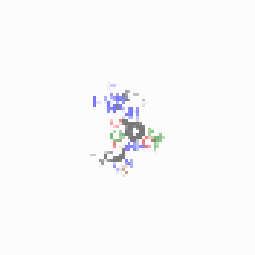 Cc1nsnc1C(=O)Nc1c(OC(F)(F)F)ccc(C(=O)NC2=NNNN2C)c1Cl